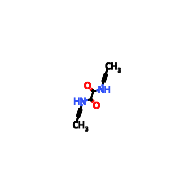 CC#CNC(=O)C(=O)NC#CC